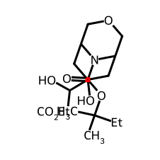 CCOC(=O)C(O)C1(O)CC2COCC(C1)N2C(=O)OC(C)(C)CC